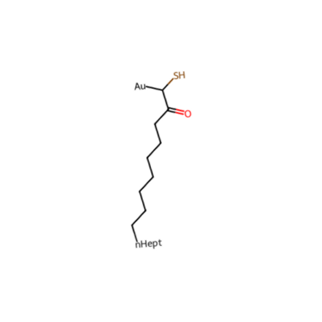 CCCCCCCCCCCCCCC(=O)[CH](S)[Au]